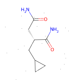 NC(=O)C[C@@H](CC1CC1)C(N)=O